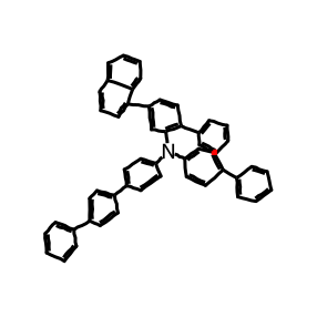 c1ccc(-c2ccc(-c3ccc(N(c4ccc(-c5ccccc5)cc4)c4cc(-c5cccc6ccccc56)ccc4-c4ccccc4)cc3)cc2)cc1